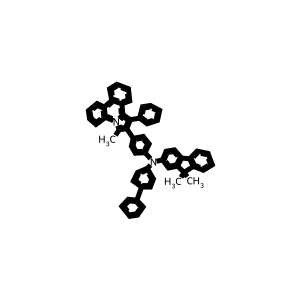 Cc1c(-c2ccc(N(c3ccc(-c4ccccc4)cc3)c3ccc4c(c3)C(C)(C)c3ccccc3-4)cc2)c(-c2ccccc2)c2c3ccccc3c3ccccc3n12